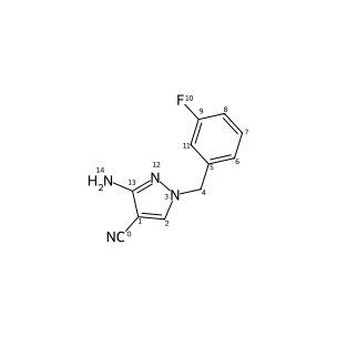 N#Cc1cn(Cc2cccc(F)c2)nc1N